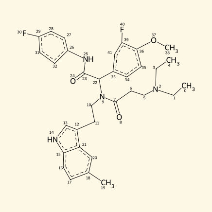 CCN(CC)CCC(=O)N(CCc1c[nH]c2ccc(C)cc12)C(C(=O)Nc1ccc(F)cc1)c1ccc(OC)c(F)c1